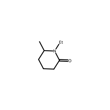 CCN1C(=O)CCCC1C